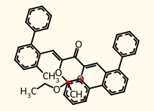 CCOC1(C)O/C(=C\c2c(C)cccc2-c2ccccc2)C(=O)/C(=C/c2c(-c3ccccc3)cccc2-c2ccccc2)O1